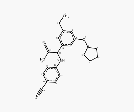 CCc1cc(OC2CCCC2)cc(C(Nc2ccc(C#N)cc2)C(=O)O)c1